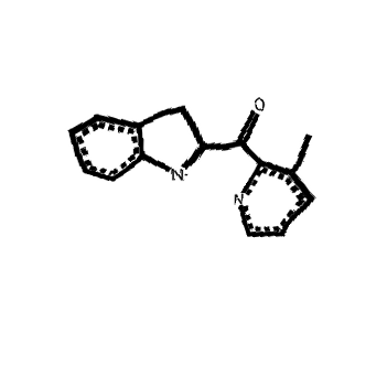 Cc1cccnc1C(=O)C1Cc2ccccc2[N]1